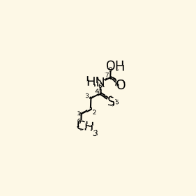 CCCCC(=S)NC(=O)O